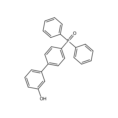 O=P(c1ccccc1)(c1ccccc1)c1ccc(-c2cccc(O)c2)cc1